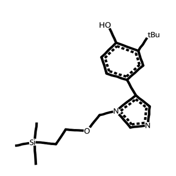 CC(C)(C)c1cc(-c2cncn2COCC[Si](C)(C)C)ccc1O